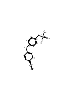 [N-]=[N+]=C1C=CC(Sc2ccc(CP(=O)(O)O)cc2)=CC1